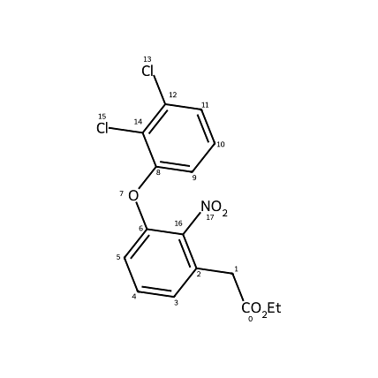 CCOC(=O)Cc1cccc(Oc2cccc(Cl)c2Cl)c1[N+](=O)[O-]